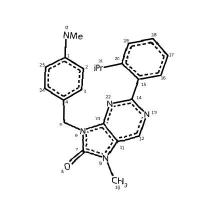 CNc1ccc(Cn2c(=O)n(C)c3cnc(-c4ccccc4C(C)C)nc32)cc1